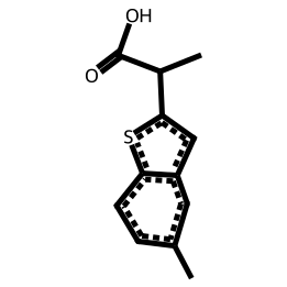 Cc1ccc2sc(C(C)C(=O)O)cc2c1